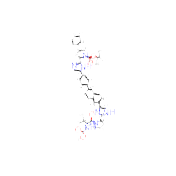 COC(=O)N[C@H](C(=O)N1CCC[C@H]1c1nc(-c2ccc3cc(-c4ccc(-c5cnc([C@@H]6C[C@@H](c7ccccc7)CN6C(=O)OC(C)(C)C)[nH]5)cc4)ccc3c2)c[nH]1)C(C)C